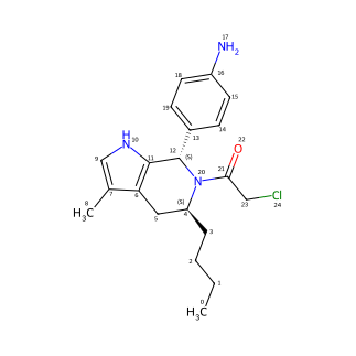 CCCC[C@H]1Cc2c(C)c[nH]c2[C@H](c2ccc(N)cc2)N1C(=O)CCl